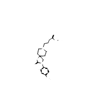 CC(C)(C)OC(=O)CCCN1CCC2(CC1)CN(c1ccc(C#N)cc1)C(=O)O2